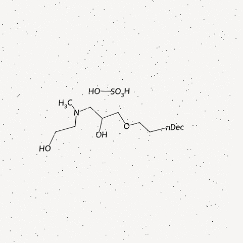 CCCCCCCCCCCCOCC(O)CN(C)CCO.O=S(=O)(O)O